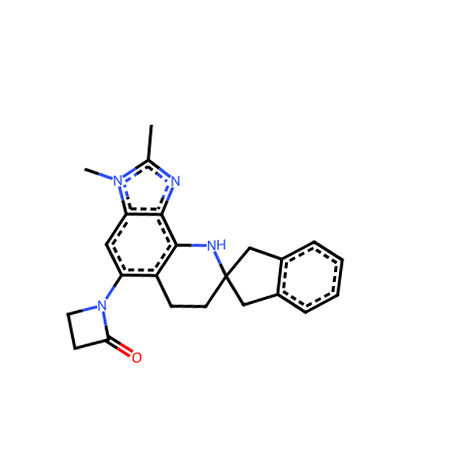 Cc1nc2c3c(c(N4CCC4=O)cc2n1C)CCC1(Cc2ccccc2C1)N3